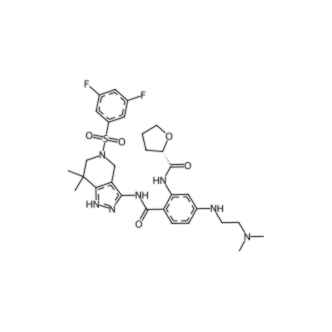 CN(C)CCNc1ccc(C(=O)Nc2n[nH]c3c2CN(S(=O)(=O)c2cc(F)cc(F)c2)CC3(C)C)c(NC(=O)[C@@H]2CCCO2)c1